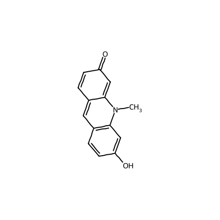 Cn1c2cc(=O)ccc-2cc2ccc(O)cc21